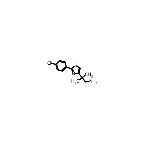 CC(C)(CN)c1csc(-c2ccc(Cl)cc2)n1